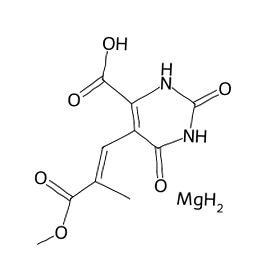 COC(=O)C(C)=Cc1c(C(=O)O)[nH]c(=O)[nH]c1=O.[MgH2]